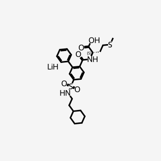 CSCC[C@H](NC(=O)c1ccc(S(=O)(=O)NCCC2CCCCC2)cc1-c1ccccc1)C(=O)O.[LiH]